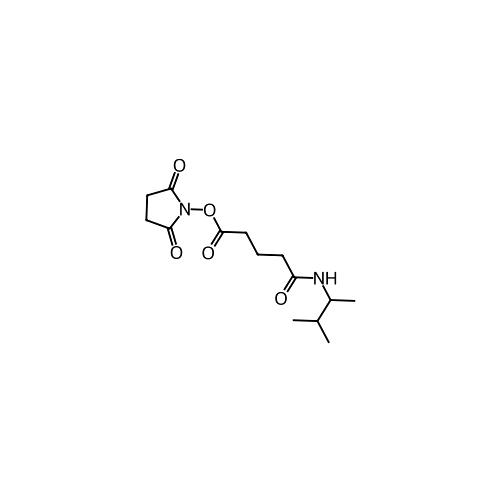 CC(C)C(C)NC(=O)CCCC(=O)ON1C(=O)CCC1=O